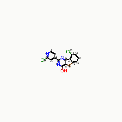 Oc1nc(-c2ccnc(Cl)c2)nc2c1sc1cccc(Cl)c12